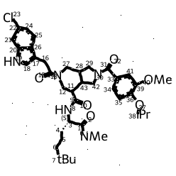 CNC(=O)[C@H](CCCC(C)(C)C)NC(=O)C1CN(C(=O)Cc2c[nH]c3cc(Cl)ccc23)CC2CN(C(=O)c3ccc(OC(C)C)c(OC)c3)CC21